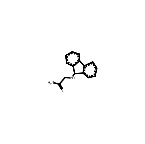 NC(=O)CNC1c2ccccc2-c2ccccc21